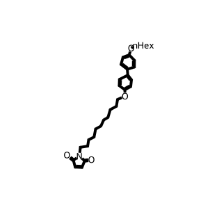 CCCCCCOc1ccc(-c2ccc(OCCCCCCCCCCCN3C(=O)C=CC3=O)cc2)cc1